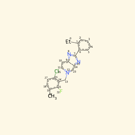 CCc1ccccc1-c1nc2ccn(Cc3c(Cl)ccc(C)c3F)cc-2n1